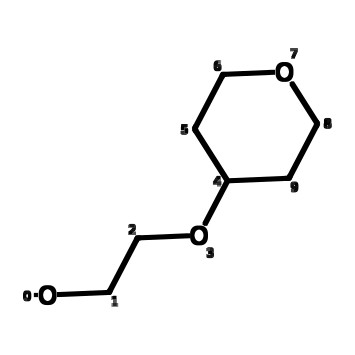 [O]CCOC1CCOCC1